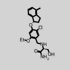 CCOc1cc(O[C@H]2CCc3c(C)cccc32)c(Cl)cc1CN[C@@H](CO)C(N)=O